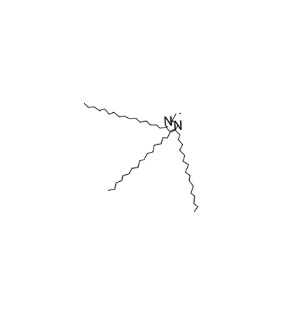 [CH2]c1nc(CCCCCCCCCCCCCCCC)c(CCCCCCCCCCCCCCCC)c(CCCCCCCCCCCCCCCC)n1